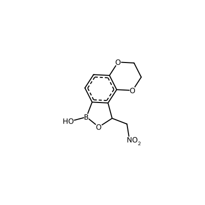 O=[N+]([O-])CC1OB(O)c2ccc3c(c21)OCCO3